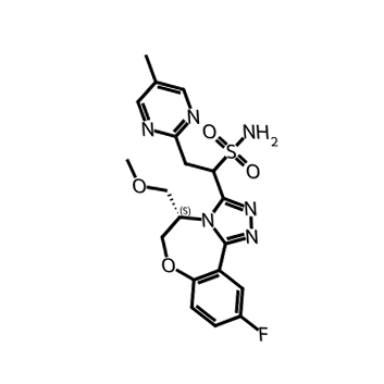 COC[C@H]1COc2ccc(F)cc2-c2nnc(C(Cc3ncc(C)cn3)S(N)(=O)=O)n21